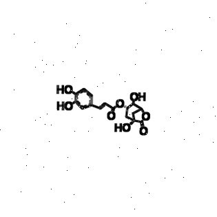 O=C(/C=C/c1ccc(O)c(O)c1)O[C@H]1C[C@]2(O)CC(OC2=O)[C@@H]1O